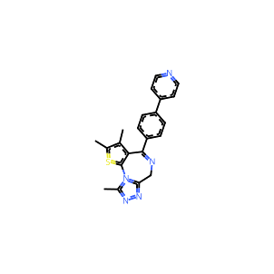 Cc1sc2c(c1C)C(c1ccc(-c3ccncc3)cc1)=NCc1nnc(C)n1-2